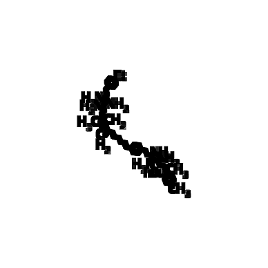 C=CC(/C=C/CC/C=C/c1ccc(CCC(N)C(N)C(N)CCC(C)(CCCC)c2ccc(C)cc2)cc1)=C\C=C(C)C(=C)CCC(N)C(N)C(N)CCc1ccc(CC)cc1